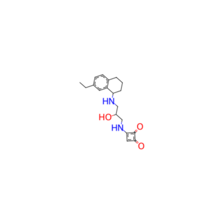 CCc1ccc2c(c1)C(NCC(O)CNc1cc(=O)c1=O)CCC2